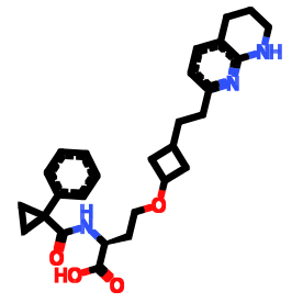 O=C(O)[C@H](CCOC1CC(CCc2ccc3c(n2)NCCC3)C1)NC(=O)C1(c2ccccc2)CC1